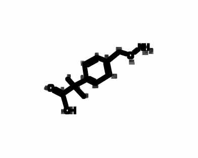 CC(C)(C(=O)O)c1ccc(CON)cc1